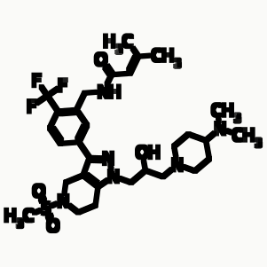 CC(C)=CC(=O)NCc1cc(-c2nn(CC(O)CN3CCC(N(C)C)CC3)c3c2CN(S(C)(=O)=O)CC3)ccc1C(F)(F)F